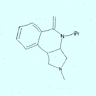 C=C1c2ccccc2C2CN(C)CC2N1C(C)C